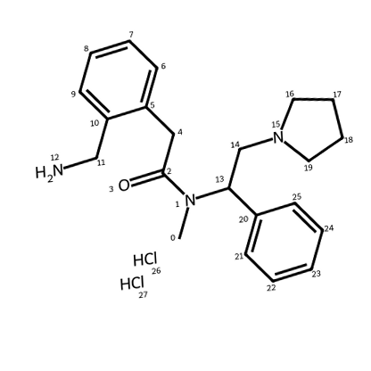 CN(C(=O)Cc1ccccc1CN)C(CN1CCCC1)c1ccccc1.Cl.Cl